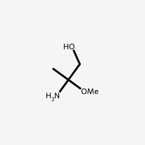 COC(C)(N)CO